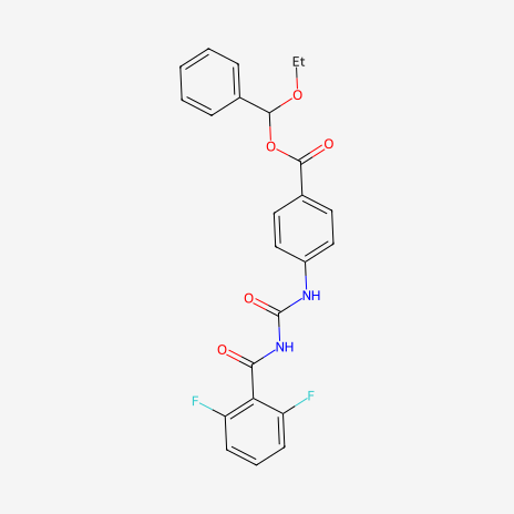 CCOC(OC(=O)c1ccc(NC(=O)NC(=O)c2c(F)cccc2F)cc1)c1ccccc1